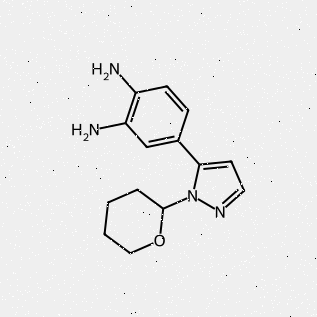 Nc1ccc(-c2ccnn2C2CCCCO2)cc1N